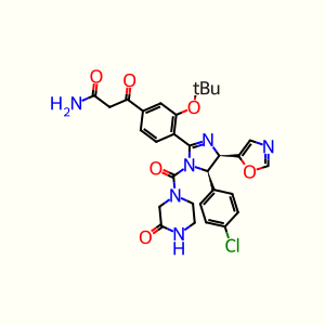 CC(C)(C)Oc1cc(C(=O)CC(N)=O)ccc1C1=N[C@@H](c2cnco2)[C@@H](c2ccc(Cl)cc2)N1C(=O)N1CCNC(=O)C1